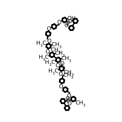 Cc1ccc(OCc2ccc(Oc3ccc(C(C)Oc4c(C)cc(Oc5c(C)cc(-c6cc(C)c(Oc7cc(C)c(OCc8ccc(Oc9ccc(COc%10ccc(O)c(P%11(=O)Oc%12ccccc%12-c%12ccccc%12%11)c%10)cc9)cc8)c(C)c7)c(C)c6C)c(C)c5C)cc4C)cc3)cc2)c(P2(=O)Oc3ccccc3-c3ccccc32)c1